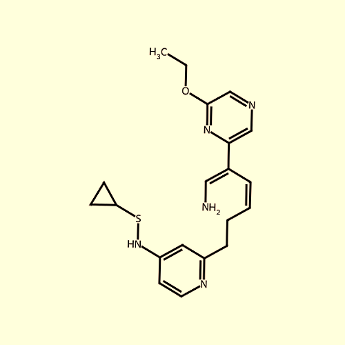 CCOc1cncc(C(/C=C\CCc2cc(NSC3CC3)ccn2)=C/N)n1